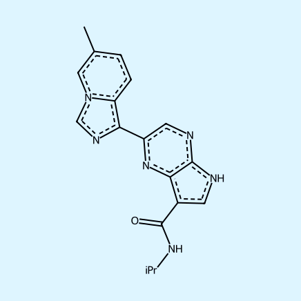 Cc1ccc2c(-c3cnc4[nH]cc(C(=O)NC(C)C)c4n3)ncn2c1